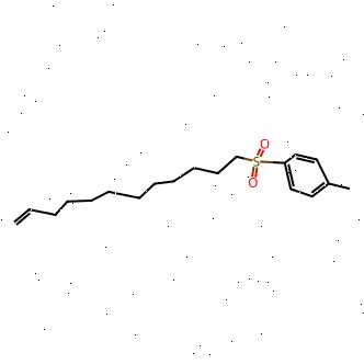 C=CCCCCCCCCCCS(=O)(=O)c1ccc(C)cc1